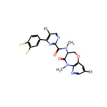 CCc1cnc2c(c1)OC[C@H](N(C)C(=O)c1ncc(CC)c(-c3ccc(F)c(F)c3)n1)C(=O)N2C